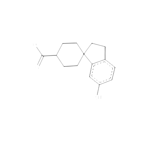 O=C(O)C1CCC2(CCc3ccc(S)cc32)CC1